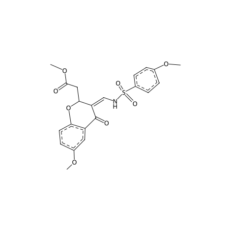 COC(=O)CC1Oc2ccc(OC)cc2C(=O)/C1=C\NS(=O)(=O)c1ccc(OC)cc1